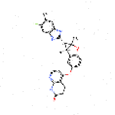 Cc1cc2[nH]c([C@H]3[C@@H]4c5cc(Oc6ccnc7c6CCC(=O)N7)ccc5OC34C)nc2cc1F